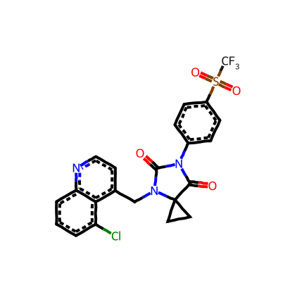 O=C1N(c2ccc(S(=O)(=O)C(F)(F)F)cc2)C(=O)C2(CC2)N1Cc1ccnc2cccc(Cl)c12